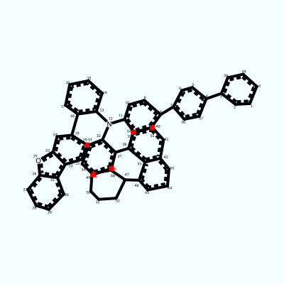 c1ccc(-c2ccc(-c3ccc(N(c4ccccc4-c4ccc5c(c4)oc4ccccc45)c4ccccc4-c4cccc5cccc(C6CCCCC6)c45)cc3)cc2)cc1